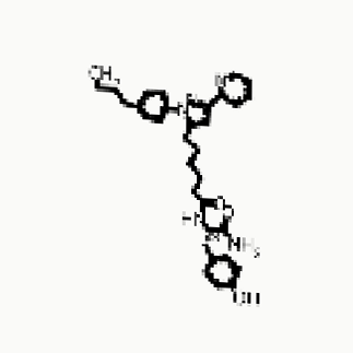 CCCCc1ccc(-n2nc(-c3ccccn3)cc2CCCCCC(=O)N[C@@H](Cc2ccc(O)cc2)C(N)=O)cc1